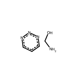 NCO.c1cnnnc1